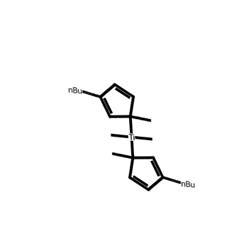 CCCCC1=C[C](C)([Ti]([CH3])([CH3])[C]2(C)C=CC(CCCC)=C2)C=C1